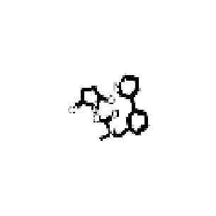 CN(Cc1cccc(-c2cccnc2)c1)C(=O)ON1C(=O)CCC1=O